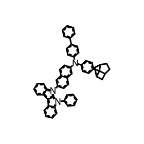 c1ccc(-c2ccc(N(c3ccc(C45C6CCC4CC5C6)cc3)c3ccc4cc(-n5c6ccccc6c6c7ccccc7n(-c7ccccc7)c65)ccc4c3)cc2)cc1